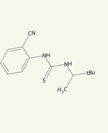 CC(NC(=S)Nc1ccccc1C#N)C(C)(C)C